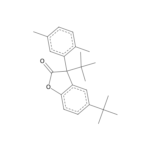 Cc1ccc(C)c(C2(C(C)(C)C)C(=O)Oc3ccc(C(C)(C)C)cc32)c1